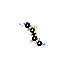 Nc1ccc(Oc2c(Cl)cc(C(c3cc(Cl)c(Oc4ccc(N)cc4)c(Cl)c3)(C(F)(F)F)C(F)(F)F)cc2Cl)cc1